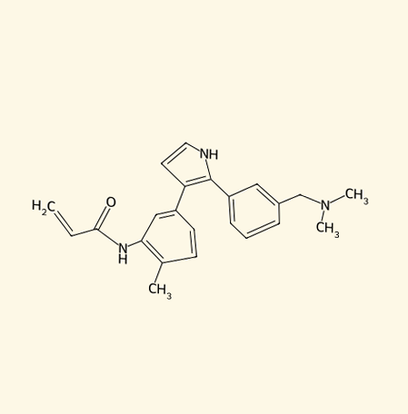 C=CC(=O)Nc1cc(-c2cc[nH]c2-c2cccc(CN(C)C)c2)ccc1C